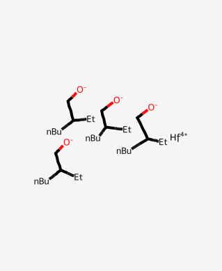 CCCCC(CC)C[O-].CCCCC(CC)C[O-].CCCCC(CC)C[O-].CCCCC(CC)C[O-].[Hf+4]